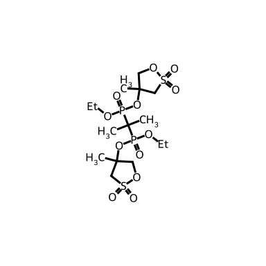 CCOP(=O)(OC1(C)COS(=O)(=O)C1)C(C)(C)P(=O)(OCC)OC1(C)COS(=O)(=O)C1